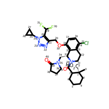 C[C@@]1(C(=O)O)CCCCC1C(=O)N1CCc2c(Cl)ccc(OCc3nnn(C4CC4)c3C(F)F)c2[C@H]1CN1CCCC1=O